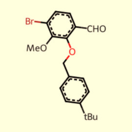 COc1c(Br)ccc(C=O)c1OCc1ccc(C(C)(C)C)cc1